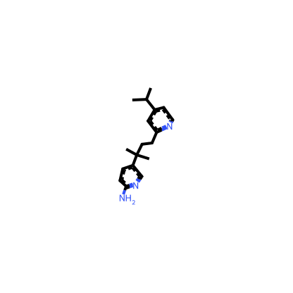 CC(C)c1ccnc(CCC(C)(C)c2ccc(N)nc2)c1